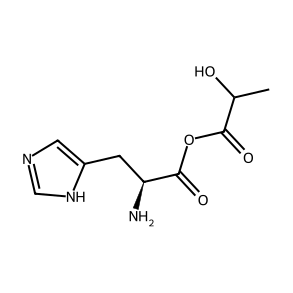 CC(O)C(=O)OC(=O)[C@@H](N)Cc1cnc[nH]1